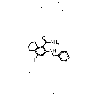 NC(=O)c1c(NCc2ccccc2)cc(F)c2c1CCCC2